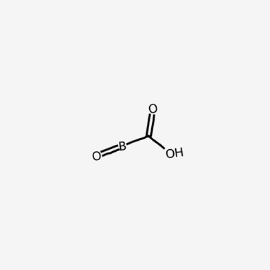 O=BC(=O)O